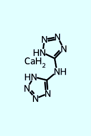 [CaH2].n1n[nH]c(Nc2nnn[nH]2)n1